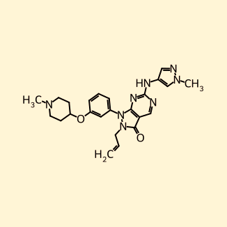 C=CCn1c(=O)c2cnc(Nc3cnn(C)c3)nc2n1-c1cccc(OC2CCN(C)CC2)c1